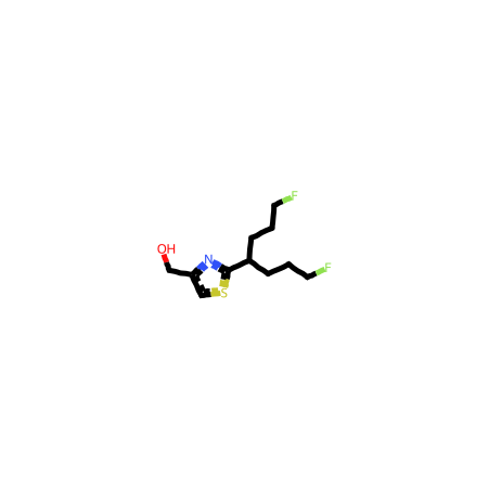 OCc1csc(C(CCCF)CCCF)n1